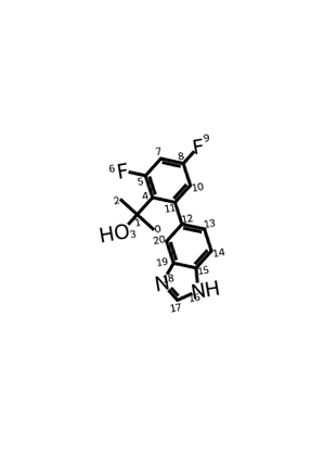 CC(C)(O)c1c(F)cc(F)cc1-c1ccc2[nH]cnc2c1